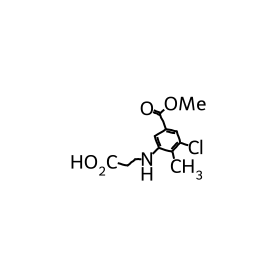 COC(=O)c1cc(Cl)c(C)c(NCCC(=O)O)c1